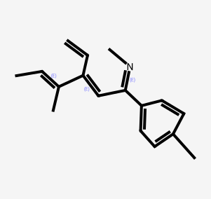 C=CC(=C\C(=N/C)c1ccc(C)cc1)/C(C)=C/C